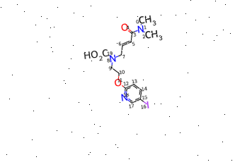 CN(C)C(=O)/C=C/CN(CCOc1ccc(I)cn1)C(=O)O